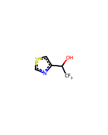 OC(c1cscn1)C(F)(F)F